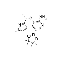 C[C@H](Oc1cc(B2OC(C)(C)C(C)(C)O2)cnc1N)c1ccn(C)n1